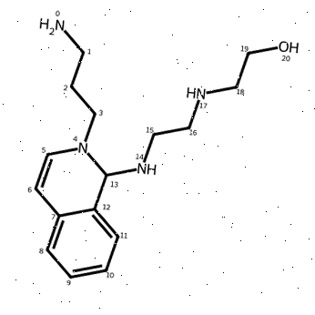 NCCCN1C=Cc2ccccc2C1NCCNCCO